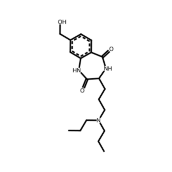 CCCN(CCC)CCCC1NC(=O)c2ccc(CO)cc2NC1=O